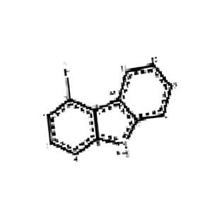 Fc1cccc2[nH]c3ccccc3c12